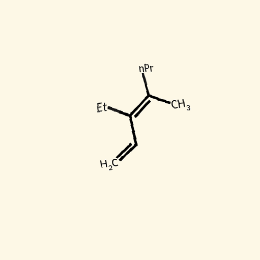 C=C/C(CC)=C(\C)CCC